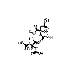 NOC(=O)CC(O)(CC(=O)O)C(=O)ON.O=C(O)CC(O)(CC(=O)O)C(=O)O